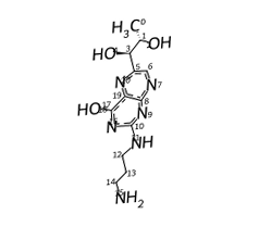 C[C@H](O)[C@H](O)c1cnc2nc(NCCCN)nc(O)c2n1